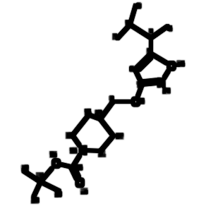 CC(C)C(C)c1cc(OCC2CCN(C(=O)OC(C)(C)C)CC2)no1